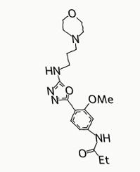 CCC(=O)Nc1ccc(-c2nnc(NCCCN3CCOCC3)o2)c(OC)c1